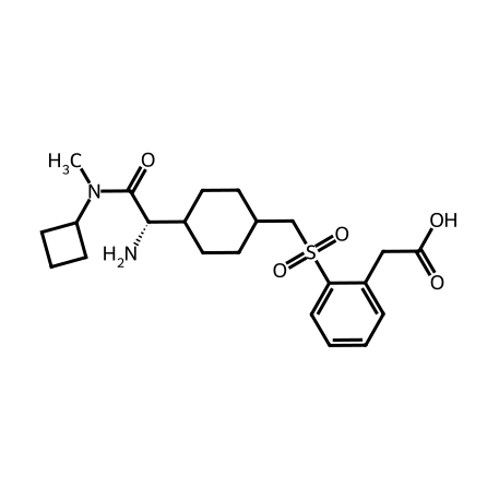 CN(C(=O)[C@@H](N)C1CCC(CS(=O)(=O)c2ccccc2CC(=O)O)CC1)C1CCC1